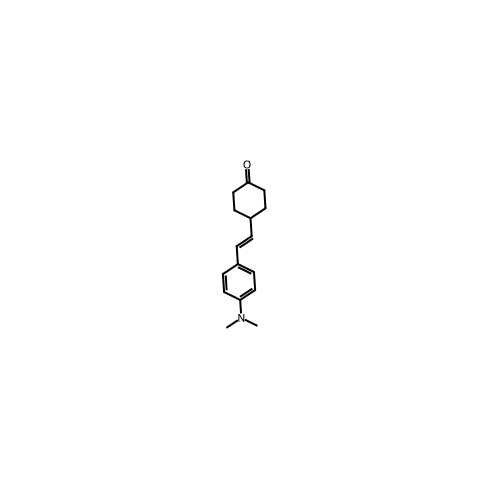 CN(C)c1ccc(C=CC2CCC(=O)CC2)cc1